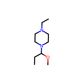 CCC(OC)N1CCN(CC)CC1